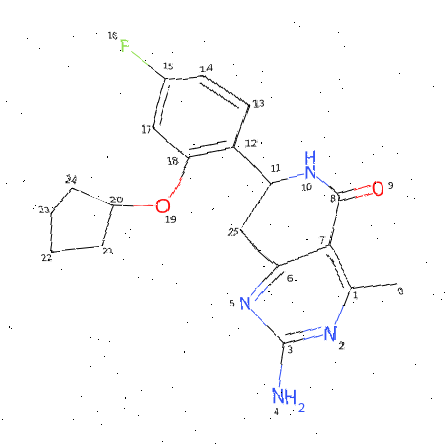 Cc1nc(N)nc2c1C(=O)NC(c1ccc(F)cc1OC1CCCC1)C2